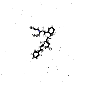 CN/C(=C\C=N)NC(=O)C1CCCCC1OCc1cc(=O)n2nc(-c3ccccc3)nc2[nH]1